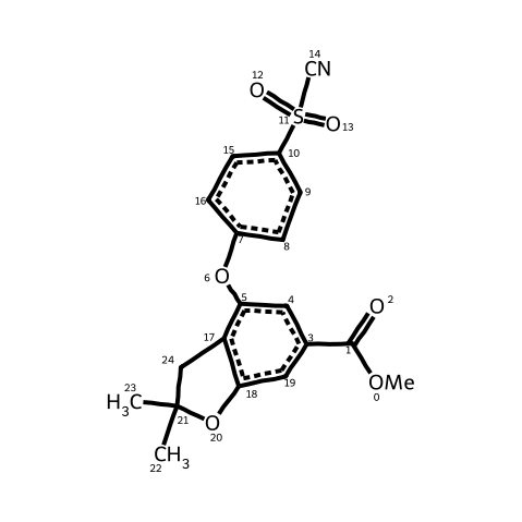 COC(=O)c1cc(Oc2ccc(S(=O)(=O)C#N)cc2)c2c(c1)OC(C)(C)C2